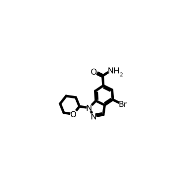 NC(=O)c1cc(Br)c2cnn(C3CCCCO3)c2c1